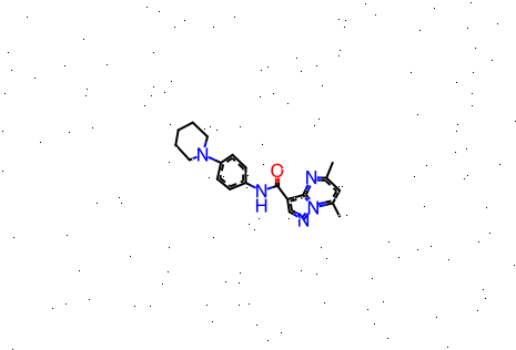 Cc1cc(C)n2ncc(C(=O)Nc3ccc(N4CCCCC4)cc3)c2n1